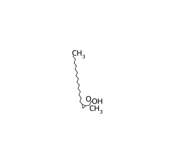 CCCCCCCCCCCCCCCCC1CC1C(C)C(=O)O